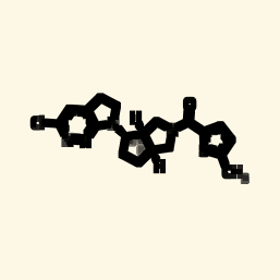 Cc1ccc(C(=O)N2C[C@@H]3CC[C@@H](N4CCc5cc(Cl)nnc54)[C@@H]3C2)s1